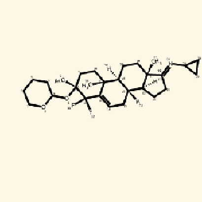 CC(=O)O[C@@]1(OC2CCCCO2)CC[C@@]2(C)C(=CC[C@@H]3[C@@H]2CC[C@]2(C)C(=NC4CC4)CC[C@@H]32)C1(F)F